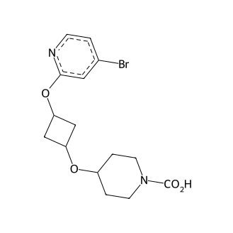 O=C(O)N1CCC(OC2CC(Oc3cc(Br)ccn3)C2)CC1